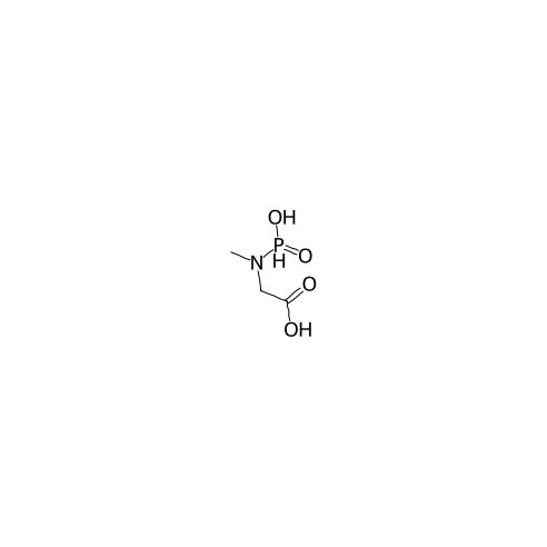 CN(CC(=O)O)[PH](=O)O